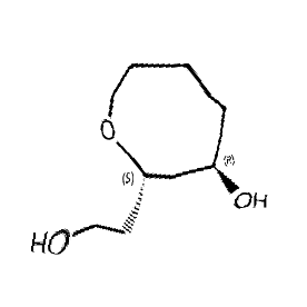 OC[C@@H]1OCCC[C@H]1O